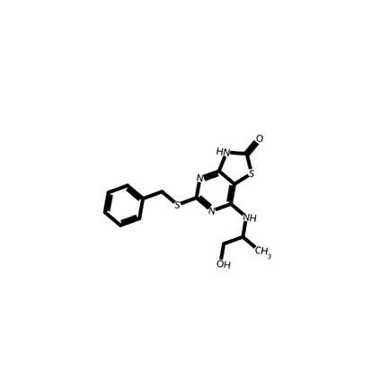 CC(CO)Nc1nc(SCc2ccccc2)nc2[nH]c(=O)sc12